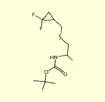 CC(CSCC1CC1(F)F)NC(=O)OC(C)(C)C